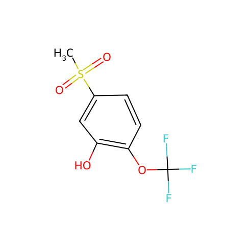 CS(=O)(=O)c1ccc(OC(F)(F)F)c(O)c1